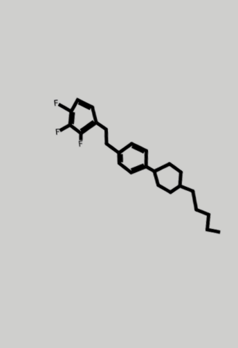 CCCCCC1CCC(c2ccc(CCc3ccc(F)c(F)c3F)cc2)CC1